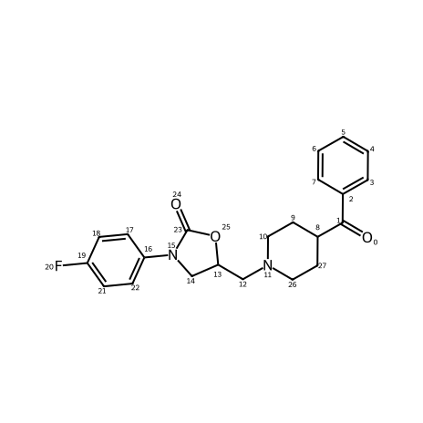 O=C(c1ccccc1)C1CCN(CC2CN(c3ccc(F)cc3)C(=O)O2)CC1